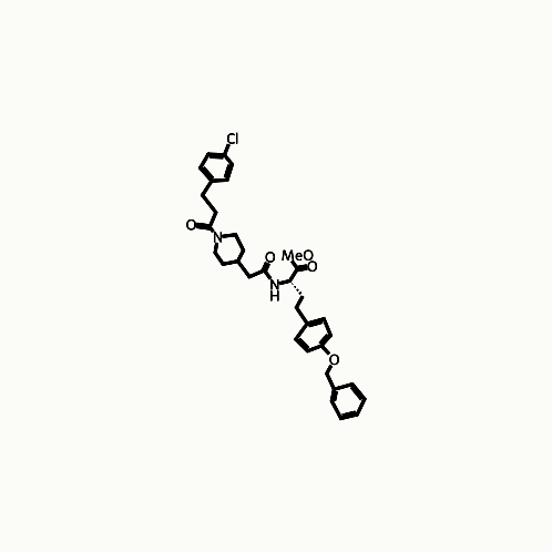 COC(=O)[C@H](CCc1ccc(OCc2ccccc2)cc1)NC(=O)CC1CCN(C(=O)CCc2ccc(Cl)cc2)CC1